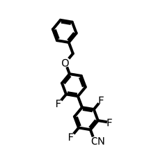 N#Cc1c(F)cc(-c2ccc(OCc3ccccc3)cc2F)c(F)c1F